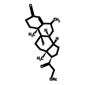 CC(=O)OCC(=O)[C@H]1CC[C@H]2[C@@H]3CC(C)C4=CC(=O)CC[C@]4(C)[C@@]3(F)CC[C@]12C